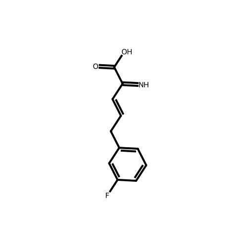 N=C(/C=C/Cc1cccc(F)c1)C(=O)O